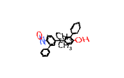 CC(C)(c1ccc(O)c(C2=CCCC=C2)c1)c1ccc(N=O)c(-c2ccccc2)c1